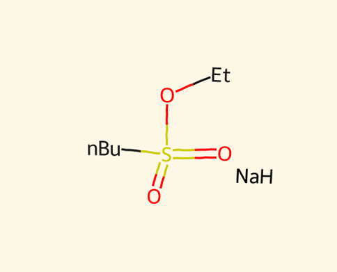 CCCCS(=O)(=O)OCC.[NaH]